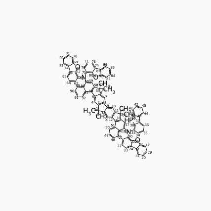 CC1(C)c2cc3c(cc2-c2cc4c(cc21)-c1c(cc(N(c2cccc5c2oc2ccccc25)c2cccc5c2[pH]c2ccccc25)c2ccccc12)C4(C)C)C(C)(C)c1cc(N(c2cccc4c2oc2ccccc24)c2cccc4c2oc2ccccc24)c2ccccc2c1-3